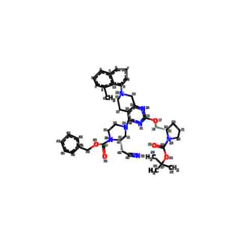 Cc1cccc2cccc(N3CCc4c(nc(OC[C@@H]5CCCN5C(=O)OC(C)(C)C)nc4N4CCN(C(=O)OCc5ccccc5)[C@@H](CC#N)C4)C3)c12